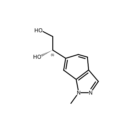 Cn1ncc2ccc([C@H](O)CO)cc21